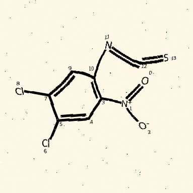 O=[N+]([O-])c1cc(Cl)c(Cl)cc1N=C=S